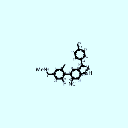 CNCc1cc(C)c(-c2cc3c(-c4ccc(C)cc4)n[nH]c3cc2C#N)c(F)c1